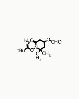 C=C1CC(OC=O)CC(C)(C)N1OC(=O)C(C)(C)C